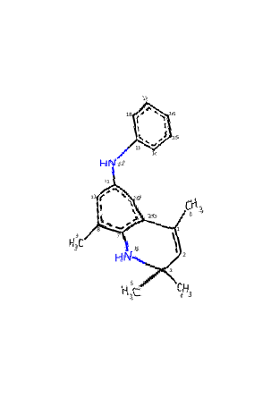 CC1=CC(C)(C)Nc2c(C)cc(Nc3ccccc3)cc21